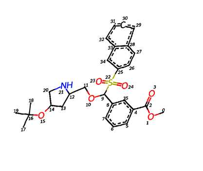 COC(=O)c1cccc(C(OCC2CC(OC(C)(C)C)CN2)S(=O)(=O)c2ccc3ccccc3c2)c1